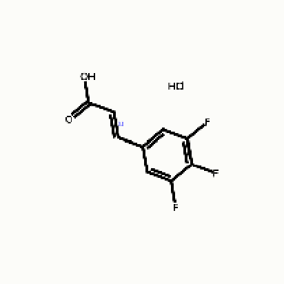 Cl.O=C(O)/C=C/c1cc(F)c(F)c(F)c1